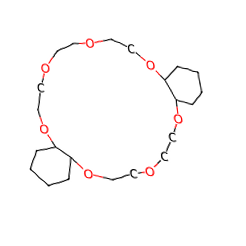 C1CCC2OCCOCCOC3CCCCC3OCCOCCOCCOC2C1